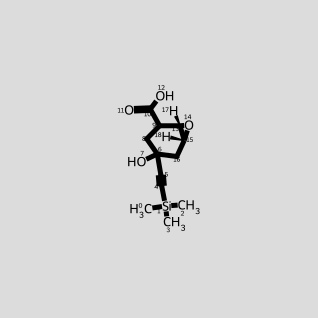 C[Si](C)(C)C#CC1(O)CC(C(=O)O)[C@@H]2O[C@@H]2C1